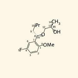 COc1ccc(F)cc1[C@H](CC(C)C)OC[C@@H](C)O